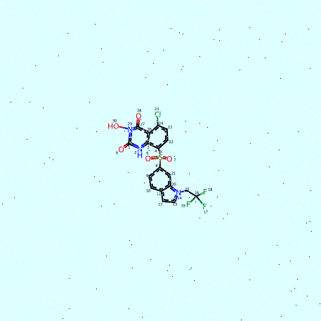 O=c1[nH]c2c(S(=O)(=O)c3ccc4ccn(CC(F)(F)F)c4c3)ccc(Cl)c2c(=O)n1O